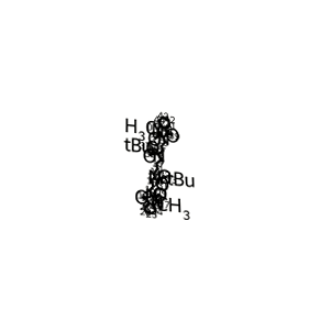 Cn1c(=O)n(CCCN(CCCCN(CCCn2c(=O)c3ccccc3n(C)c2=O)C(=O)OC(C)(C)C)C(=O)OC(C)(C)C)c(=O)c2ccccc21